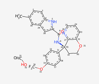 Cc1ccc2[nH]c(C(=O)N[C@]3(c4ccc(OC(F)(F)F)cc4)CCOc4cccnc43)cc2c1.O=CO